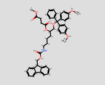 [3H]OC(=O)CCC(=O)OC(CCCCNC(=O)OCC1c2ccccc2-c2ccccc21)COC(c1ccccc1)(c1ccc(OC)cc1)c1ccc(OC)cc1